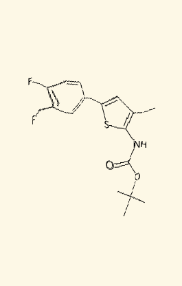 Cc1cc(-c2ccc(F)c(F)c2)sc1NC(=O)OC(C)(C)C